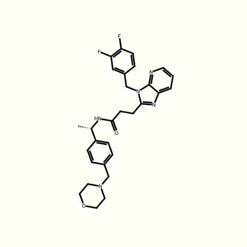 C[C@H](NC(=O)CCc1nc2cccnc2n1Cc1ccc(F)c(F)c1)c1ccc(CN2CCOCC2)cc1